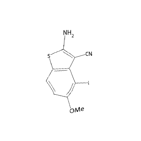 COc1ccc2sc(N)c(C#N)c2c1I